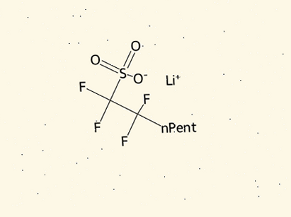 CCCCCC(F)(F)C(F)(F)S(=O)(=O)[O-].[Li+]